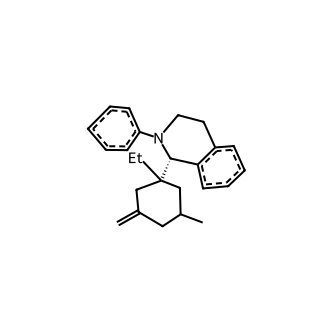 C=C1CC(C)CC(CC)([C@H]2c3ccccc3CCN2c2ccccc2)C1